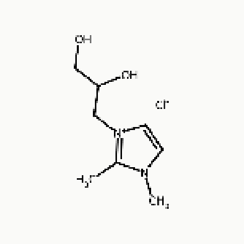 Cc1n(C)cc[n+]1CC(O)CO.[Cl-]